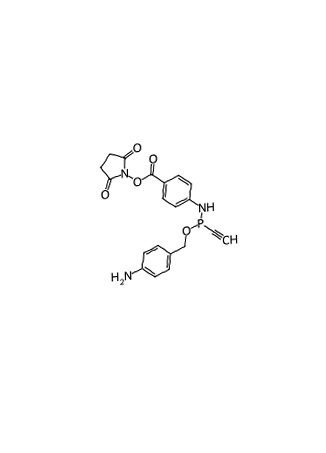 C#CP(Nc1ccc(C(=O)ON2C(=O)CCC2=O)cc1)OCc1ccc(N)cc1